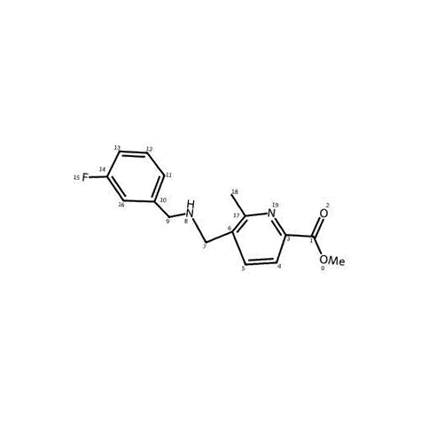 COC(=O)c1ccc(CNCc2cccc(F)c2)c(C)n1